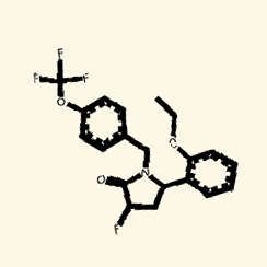 CCOc1ccccc1C1CC(F)C(=O)N1Cc1ccc(OC(F)(F)F)cc1